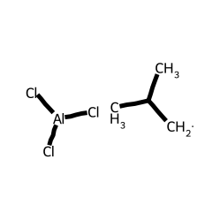 [CH2]C(C)C.[Cl][Al]([Cl])[Cl]